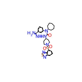 N=C(N)c1cccc(N(C(=O)NC2CCN(S(=O)(=O)c3cccc4nsnc34)CC2)C2CCCCCC2)c1